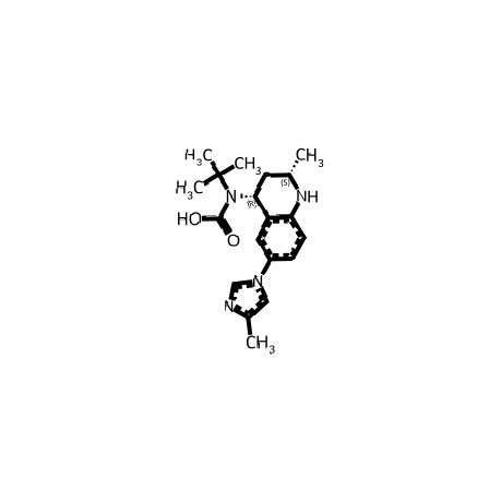 Cc1cn(-c2ccc3c(c2)[C@H](N(C(=O)O)C(C)(C)C)C[C@H](C)N3)cn1